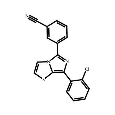 N#Cc1cccc(-c2nc(-c3ccccc3Cl)c3sccn23)c1